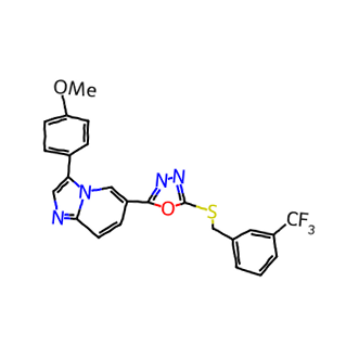 COc1ccc(-c2cnc3ccc(-c4nnc(SCc5cccc(C(F)(F)F)c5)o4)cn23)cc1